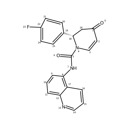 O=C1C=CN(C(=O)Nc2cccc3ncccc23)[C@H](c2ccc(F)cc2)C1